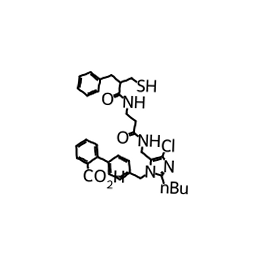 CCCCc1nc(Cl)c(CNC(=O)CCNC(=O)C(CS)Cc2ccccc2)n1Cc1ccc(-c2ccccc2C(=O)O)cc1